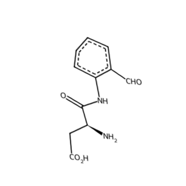 N[C@@H](CC(=O)O)C(=O)Nc1ccccc1C=O